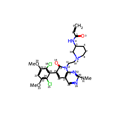 C=CC(=O)NC1CCCN(CCn2c(=O)c(-c3c(Cl)c(OC)cc(OC)c3Cl)cc3cnc(NC)nc32)C1